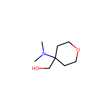 CN(C)C1(CO)CCOCC1